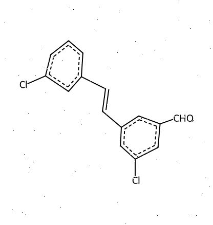 O=Cc1cc(Cl)cc(/C=C/c2cccc(Cl)c2)c1